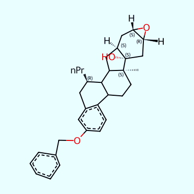 CCC[C@@H]1Cc2cc(OCc3ccccc3)ccc2C2CC[C@@]3(C)C(C[C@H]4C[C@@H]5O[C@@H]5C[C@]43O)C21